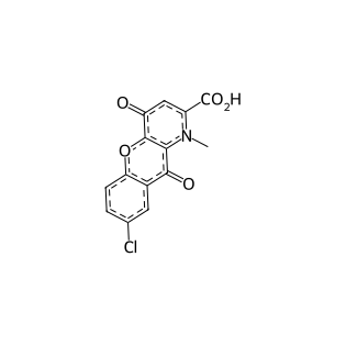 Cn1c(C(=O)O)cc(=O)c2oc3ccc(Cl)cc3c(=O)c21